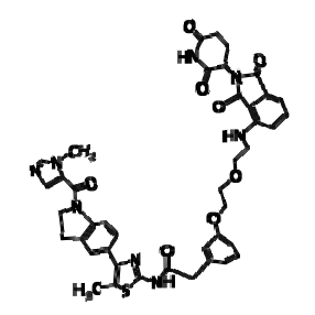 Cc1sc(NC(=O)Cc2cccc(OCCOCCNc3cccc4c3C(=O)N(C3CCC(=O)NC3=O)C4=O)c2)nc1-c1ccc2c(c1)CCN2C(=O)c1cncn1C